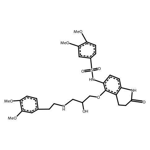 COc1ccc(CCNCC(O)COc2c(NS(=O)(=O)c3ccc(OC)c(OC)c3)ccc3c2CCC(=O)N3)cc1OC